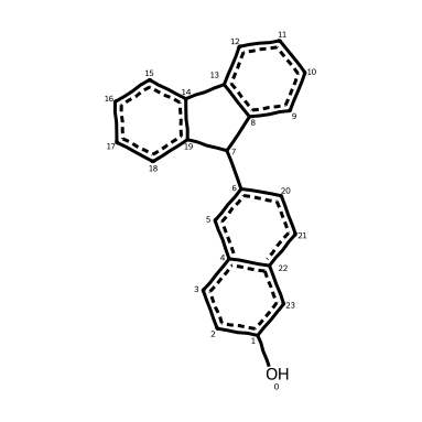 Oc1ccc2cc(C3c4ccccc4-c4ccccc43)ccc2c1